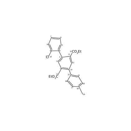 CCOC(=O)c1cc(-c2ccccc2Cl)c(C(=O)OCC)cc1-c1ccc(C)cc1